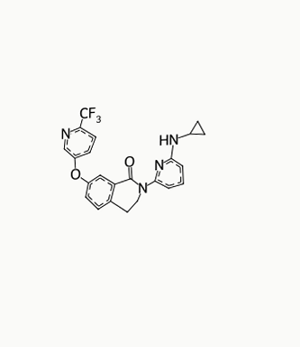 O=C1c2cc(Oc3ccc(C(F)(F)F)nc3)ccc2CCN1c1cccc(NC2CC2)n1